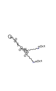 CCCCCCCC/C=C\CCCCCCCC(=O)OCC(CNC(=O)OCCSSCCOC(=O)CCN1CCCCCC1)OC(=O)CCCCCCC/C=C\CCCCCCCC